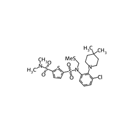 CSCN(c1cccc(Cl)c1N1CCC(C)(C)CC1)S(=O)(=O)c1ccc(S(=O)(=O)N(C)C)s1